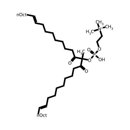 CCCCCCCCC=CCCCCCCCC(=O)C(C)(OP(=O)(O)OCC[N+](C)(C)C)C(=O)CCCCCCCC=CCCCCCCCC